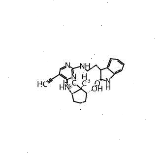 C#Cc1cnc(NCCC2C(=O)Nc3ccccc32)nc1N[C@@H]1CCC[C@@H](O)C1(C)C